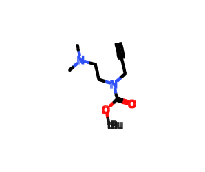 C#CCN(CCN(C)C)C(=O)OC(C)(C)C